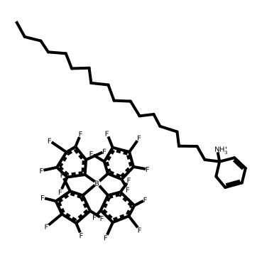 CCCCCCCCCCCCCCCCCCC1([NH3+])C=CC=CC1.Fc1c(F)c(F)c([B-](c2c(F)c(F)c(F)c(F)c2F)(c2c(F)c(F)c(F)c(F)c2F)c2c(F)c(F)c(F)c(F)c2F)c(F)c1F